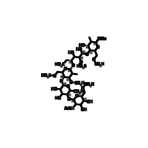 CO[C@H]1OC(COS(=O)(=O)O)[C@@H](O[C@H](O)[C@@H](OS(=O)(=O)O)C(O)[C@@H](CC(=O)O)O[C@H]2OC(COS(=O)(=O)O)[C@@H](O[C@@H]3OC(C(=O)O)[C@@H](O[C@H]4OC(COS(=O)(=O)O)[C@@H](O)C(O)C4NC(C)=O)C(O)C3O)[C@H](OS(=O)(=O)O)C2C)[C@H](O)C1C